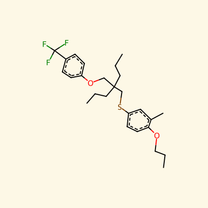 CCCOc1ccc(SCC(CCC)(CCC)COc2ccc(C(F)(F)F)cc2)cc1C